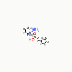 NC(=O)C1(NC[C@H](O)[CH]Cc2ccccc2)CCCCC1